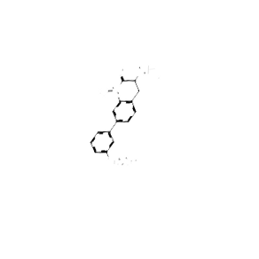 COc1cccc(-c2ccc3c(c2)N(O)C(=O)C(N)C3)c1